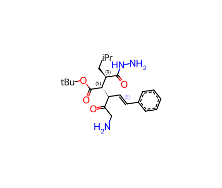 CC(C)C[C@@H](C(=O)NN)[C@@H](C(=O)OC(C)(C)C)C(/C=C/c1ccccc1)C(=O)CN